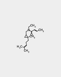 C/C=C/C(=O)N(CC)CC1CC1(C)CCC=C(C)C